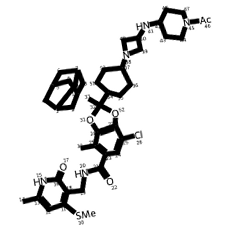 C1C2CC3CC1CC(C2)C3.CSc1cc(C)[nH]c(=O)c1CNC(=O)c1cc(Cl)c2c(c1C)OC(C)(C1CCC(N3CC(NC4CCN(C(C)=O)CC4)C3)CC1)O2